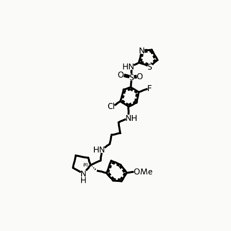 COc1ccc(C[C@@]2(CNCCCCNc3cc(F)c(S(=O)(=O)Nc4nccs4)cc3Cl)CCCN2)cc1